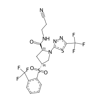 N#CCCNC(=O)[C@@H]1C[C@@H](S(=O)(=O)c2ccccc2C(F)(F)F)CN1c1nnc(C(F)(F)F)s1